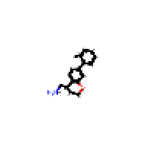 Cc1ccccc1-c1ccc2c(c1)OCCC2CN